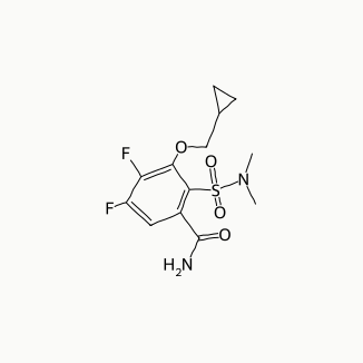 CN(C)S(=O)(=O)c1c(C(N)=O)cc(F)c(F)c1OCC1CC1